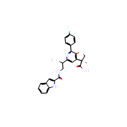 C[C@]1(C(N)=O)COc2c1cc(C(CNC(=O)c1cc3ccccc3[nH]1)C(F)(F)F)nc2-c1ccc(F)cc1